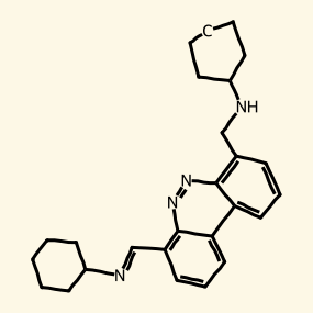 C(=N\C1CCCCC1)/c1cccc2c1nnc1c(CNC3CCCCC3)cccc12